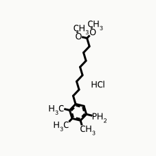 COC(CCCCCCCCc1cc(P)c(C)c(C)c1C)OC.Cl